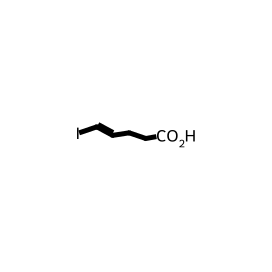 O=C(O)CC/C=C/I